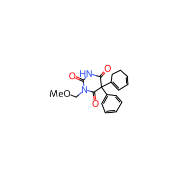 COCN1C(=O)NC(=O)C(C2=CC=CCC2)(c2ccccc2)C1=O